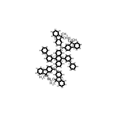 CC1(C)C2=CC(N(c3ccc4c(c3)C(C)(C)c3ccccc3-4)c3ccc4c(-c5cccc(-c6ccccc6)c5)c5cc(N(c6ccc7c(c6)C(C)(C)c6ccccc6-7)c6ccc7c(c6)C(C)(C)c6ccccc6-7)ccc5c(-c5cccc(-c6ccccc6)c5)c4c3)CC=C2c2ccccc21